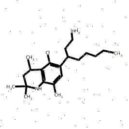 CCCCCC(C[CH2][InH2])c1cc(C)c2c(c1Cl)C(C)CC(C)(C)N2